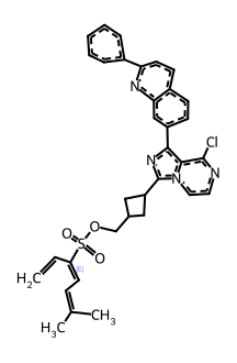 C=C/C(=C\C=C(C)C)S(=O)(=O)OCC1CC(c2nc(-c3ccc4ccc(-c5ccccc5)nc4c3)c3c(Cl)nccn23)C1